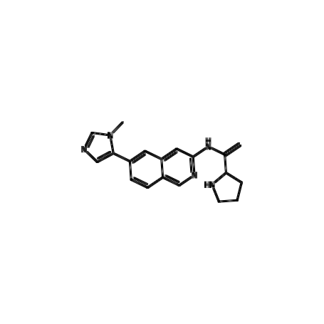 C=C(Nc1cc2cc(-c3cncn3C)ccc2cn1)C1CCCN1